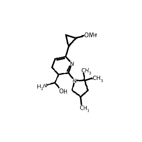 COC1CC1C1=CCC(C(N)O)C(N2CC(C)CC2(C)C)=N1